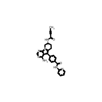 CC#CC(=O)N[C@@H]1CCc2c(-c3ccc(C(=O)Nc4ccccn4)cc3)c3c(N)ncnc3n2C1